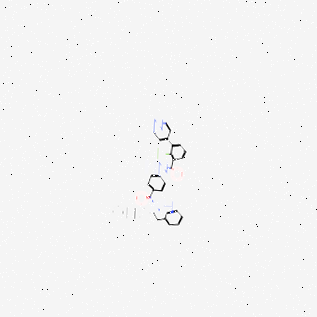 O=C[C@H](Cc1ccccc1)NC(=O)c1ccc(NC(=O)c2cccc(-c3ccncc3)c2F)cc1